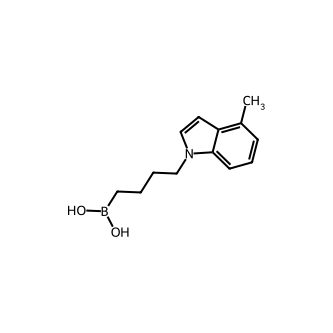 Cc1cccc2c1ccn2CCCCB(O)O